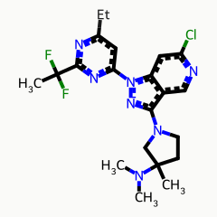 CCc1cc(-n2nc(N3CCC(C)(N(C)C)C3)c3cnc(Cl)cc32)nc(C(C)(F)F)n1